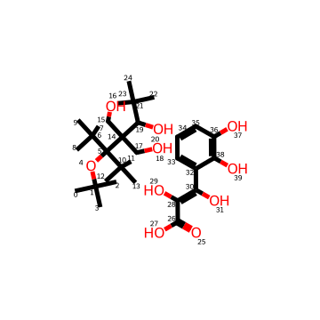 CC(C)(C)OC(C(C)(C)C)(C(C)(C)C)C(CO)(CO)C(O)C(C)(C)C.O=C(O)C(O)=C(O)c1cccc(O)c1O